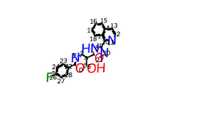 O=C(/N=C\C(CO)C1NC(c2nccc3ccccc23)=NO1)c1ccc(F)cc1